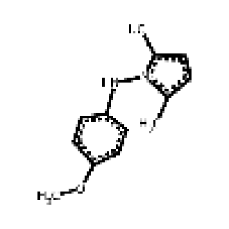 COc1ccc(Nn2c(C)ccc2C)cc1